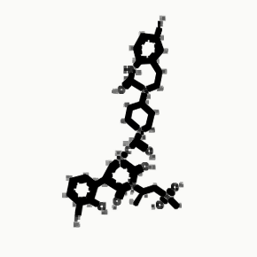 C[C@H](CS(C)(=O)=O)n1c(=O)c(-c2cccc(F)c2Cl)cn(CC(=O)N2CCC(N3CCc4cc(F)ccc4NC3=O)CC2)c1=O